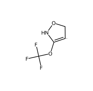 FC(F)(F)OC1=[C]CON1